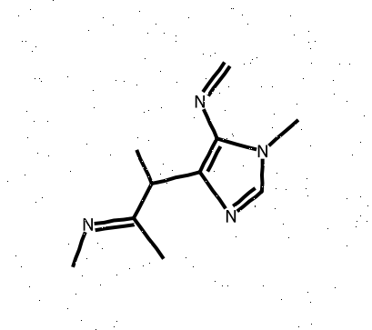 C=Nc1c(C(C)/C(C)=N/C)ncn1C